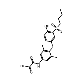 CCCCS(=O)(=O)c1cc(Oc2c(C)cc(NC(=O)C(=O)O)cc2C)ccc1O